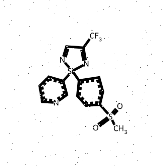 CS(=O)(=O)c1ccc([Si]2(c3cccnc3)N=CC(C(F)(F)F)=N2)cc1